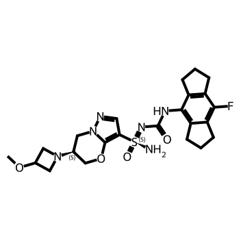 COC1CN([C@@H]2COc3c([S@@](N)(=O)=NC(=O)Nc4c5c(c(F)c6c4CCC6)CCC5)cnn3C2)C1